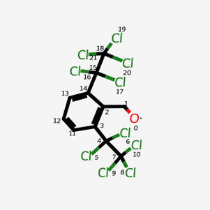 [O]Cc1c(C(Cl)(Cl)C(Cl)(Cl)Cl)cccc1C(Cl)(Cl)C(Cl)(Cl)Cl